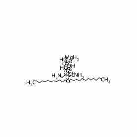 CCCCCCCCCCCCOCCCCCCCCCCCC.NCCOCCN.O=S(=O)(O)O.O=S(=O)(O)O.[MgH2]